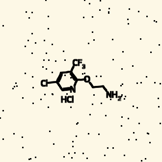 Cl.NCCOc1ncc(Cl)cc1C(F)(F)F